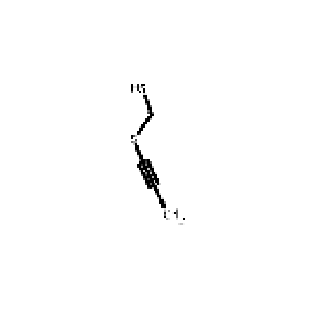 CC#CSCS